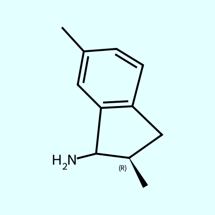 Cc1ccc2c(c1)C(N)[C@H](C)C2